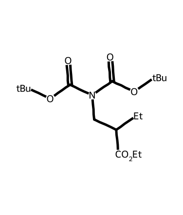 CCOC(=O)C(CC)CN(C(=O)OC(C)(C)C)C(=O)OC(C)(C)C